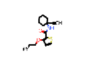 C#CC1(NC(=O)c2sccc2OCCC(C)C)CCCCC1